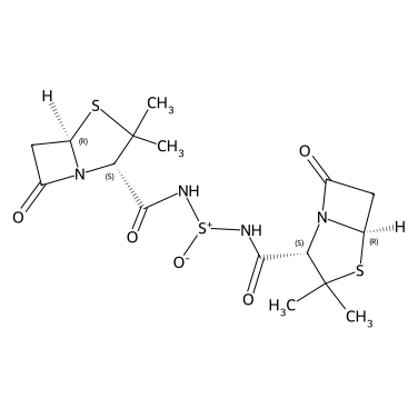 CC1(C)S[C@@H]2CC(=O)N2[C@H]1C(=O)N[S+]([O-])NC(=O)[C@@H]1N2C(=O)C[C@H]2SC1(C)C